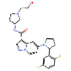 O=C(NC1CCN(CCO)C1)c1cnn2ccc(N3CCCC3c3cc(F)ccc3F)cc12